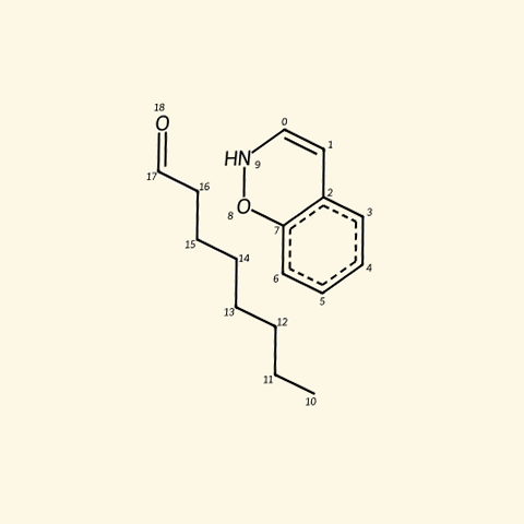 C1=Cc2ccccc2ON1.CCCCCCCC=O